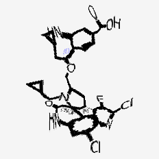 N=C1C=C(C(=O)O)C=C/C1=C(/CC1=CC1)OCC1C[C@H](c2ccnc(Cl)c2F)[C@]2(C(=O)Nc3cc(Cl)ccc32)N1CC1CC1